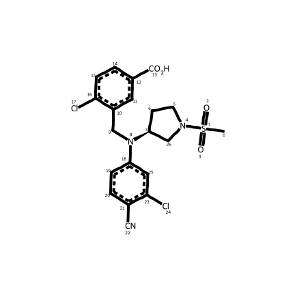 CS(=O)(=O)N1CC[C@H](N(Cc2cc(C(=O)O)ccc2Cl)c2ccc(C#N)c(Cl)c2)C1